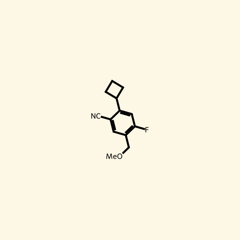 COCc1cc(C#N)c(C2CCC2)cc1F